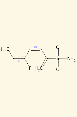 C=C(/C=C\C(F)=C/C)S(N)(=O)=O